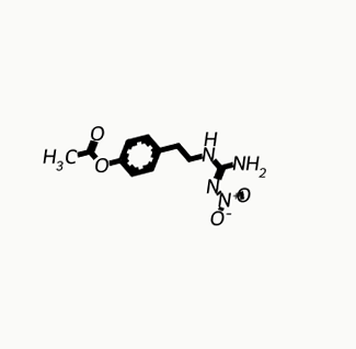 CC(=O)Oc1ccc(CCNC(N)=N[N+](=O)[O-])cc1